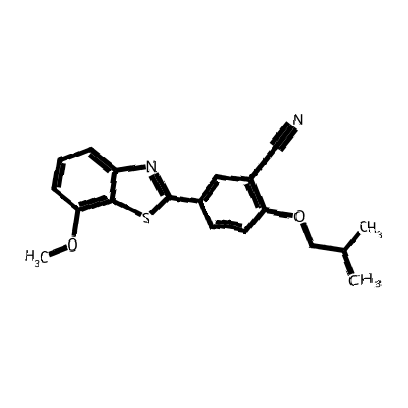 COc1cccc2nc(-c3ccc(OCC(C)C)c(C#N)c3)sc12